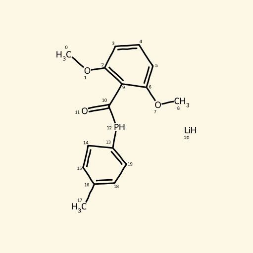 COc1cccc(OC)c1C(=O)Pc1ccc(C)cc1.[LiH]